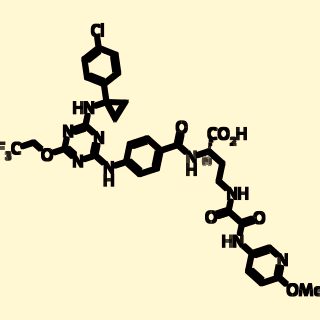 COc1ccc(NC(=O)C(=O)NCC[C@H](NC(=O)c2ccc(Nc3nc(NC4(c5ccc(Cl)cc5)CC4)nc(OCC(F)(F)F)n3)cc2)C(=O)O)cn1